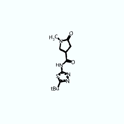 CN1CC(C(=O)Nc2nnc(C(C)(C)C)s2)CC1=O